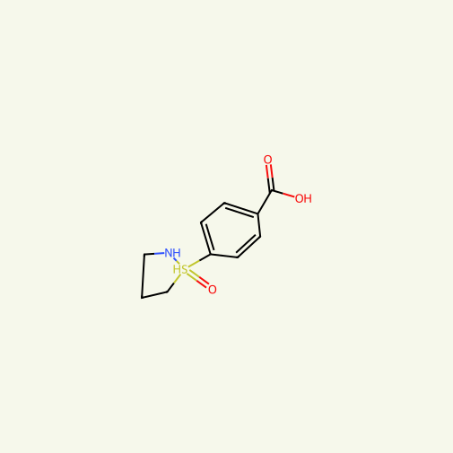 O=C(O)c1ccc([SH]2(=O)CCCN2)cc1